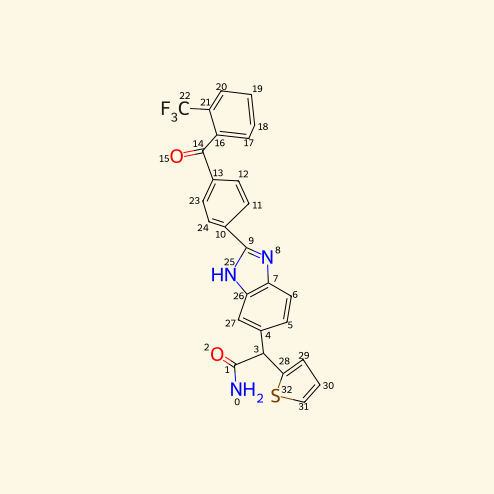 NC(=O)C(c1ccc2nc(-c3ccc(C(=O)c4ccccc4C(F)(F)F)cc3)[nH]c2c1)c1cccs1